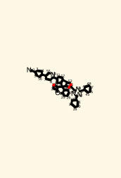 N#Cc1ccc(-c2ccc(-c3ccc4c(c3)C3(c5ccccc5Oc5ccccc53)c3cc(-c5nc(-c6ccccc6)nc(-c6ccccc6)n5)ccc3-4)nc2)cc1